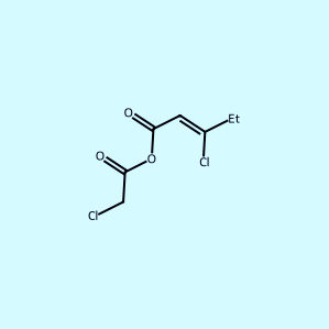 CCC(Cl)=CC(=O)OC(=O)CCl